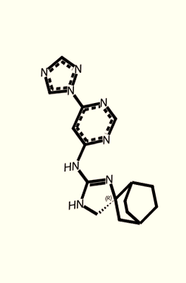 c1nc(NC2=N[C@]3(CN2)CC2CCC3CC2)cc(-n2cncn2)n1